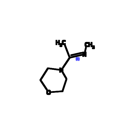 C/N=C(\C)N1CCOCC1